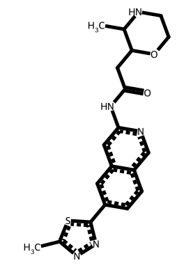 Cc1nnc(-c2ccc3cnc(NC(=O)CC4OCCNC4C)cc3c2)s1